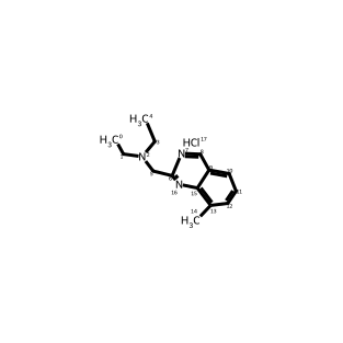 CCN(CC)Cc1ncc2cccc(C)c2n1.Cl